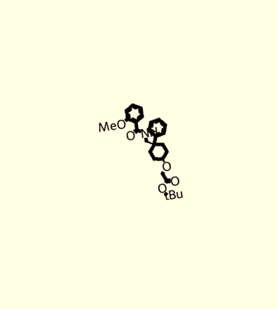 COc1ccccc1C(=O)NC[C@]1(c2ccccc2)CC[C@H](OCC(=O)OC(C)(C)C)CC1